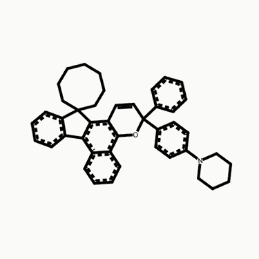 C1=CC(c2ccccc2)(c2ccc(N3CCCCC3)cc2)Oc2c1c1c(c3ccccc23)-c2ccccc2C12CCCCCCC2